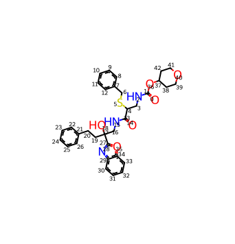 O=C(NCC(SCc1ccccc1)C(=O)NCC(O)(CCc1ccccc1)c1nc2ccccc2o1)OC1CCOCC1